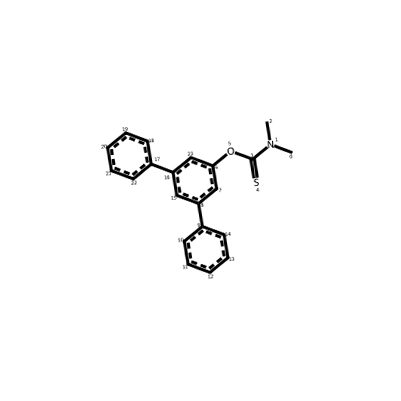 CN(C)C(=S)Oc1cc(-c2ccccc2)cc(-c2ccccc2)c1